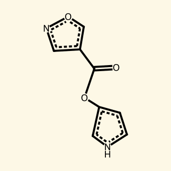 O=C(Oc1cc[nH]c1)c1cnoc1